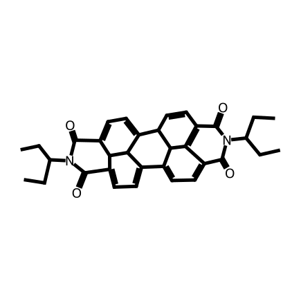 CCC(CC)N1C(=O)C2=CC=C3C4=CC=C5C(=O)N(C(CC)CC)C(=O)C6=C5C4C(C=C6)C4=CC=C(C1=O)C2C34